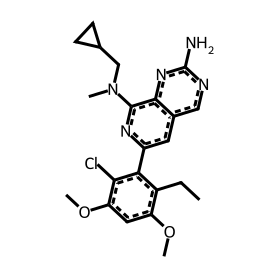 CCc1c(OC)cc(OC)c(Cl)c1-c1cc2cnc(N)nc2c(N(C)CC2CC2)n1